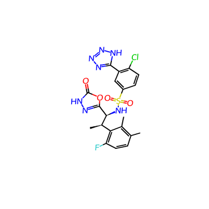 Cc1ccc(F)c([C@@H](C)[C@H](NS(=O)(=O)c2ccc(Cl)c(-c3nnn[nH]3)c2)c2n[nH]c(=O)o2)c1C